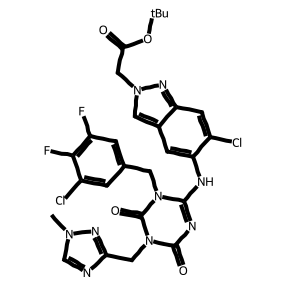 Cn1cnc(Cn2c(=O)nc(Nc3cc4cn(CC(=O)OC(C)(C)C)nc4cc3Cl)n(Cc3cc(F)c(F)c(Cl)c3)c2=O)n1